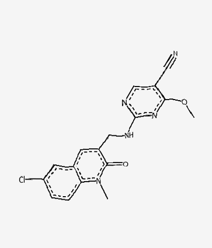 COc1nc(NCc2cc3cc(Cl)ccc3n(C)c2=O)ncc1C#N